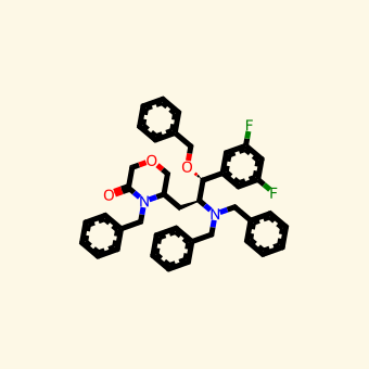 O=C1COCC(C[C@@H]([C@H](OCc2ccccc2)c2cc(F)cc(F)c2)N(Cc2ccccc2)Cc2ccccc2)N1Cc1ccccc1